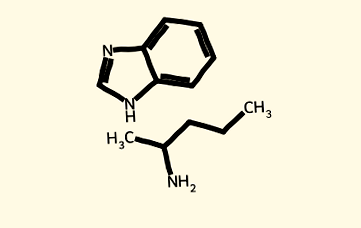 CCCC(C)N.c1ccc2[nH]cnc2c1